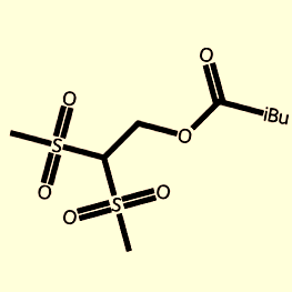 CCC(C)C(=O)OCC(S(C)(=O)=O)S(C)(=O)=O